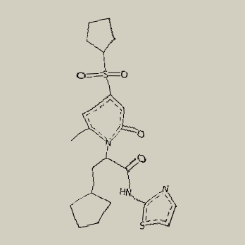 Cc1cc(S(=O)(=O)C2CCCC2)cc(=O)n1C(CC1CCCC1)C(=O)Nc1nccs1